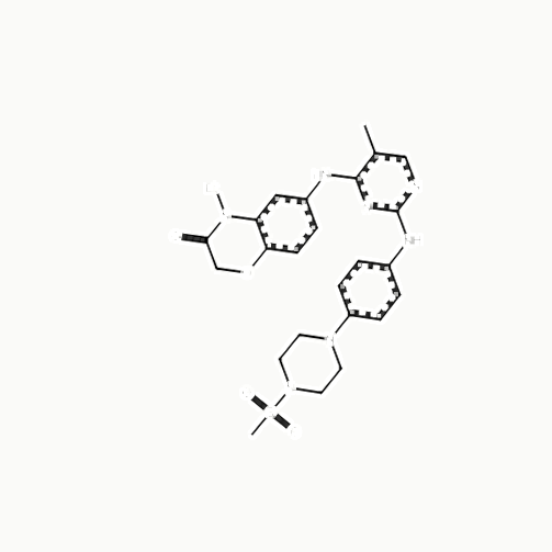 CCN1C(=O)COc2ccc(Nc3nc(Nc4ccc(N5CCN(S(C)(=O)=O)CC5)cc4)ncc3C)cc21